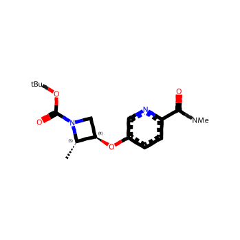 CNC(=O)c1ccc(O[C@@H]2CN(C(=O)OC(C)(C)C)[C@H]2C)cn1